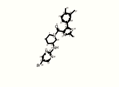 Cc1nc(C(=O)N2CCCC(Nc3ncc(Br)cn3)C2)c(-c2ccc(C)c(C)c2)s1